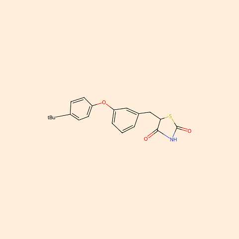 CC(C)(C)c1ccc(Oc2cccc(CC3SC(=O)NC3=O)c2)cc1